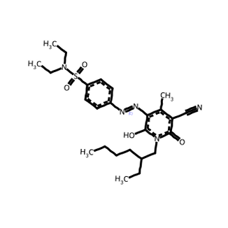 CCCCC(CC)Cn1c(O)c(/N=N/c2ccc(S(=O)(=O)N(CC)CC)cc2)c(C)c(C#N)c1=O